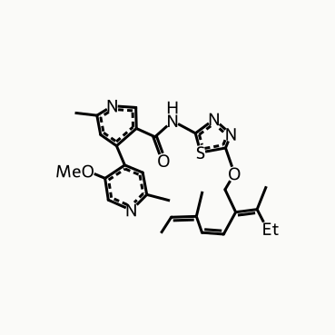 C\C=C(C)/C=C\C(COc1nnc(NC(=O)c2cnc(C)cc2-c2cc(C)ncc2OC)s1)=C(\C)CC